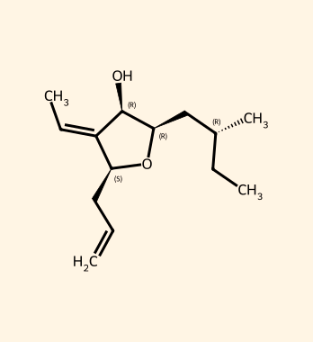 C=CC[C@@H]1O[C@H](C[C@H](C)CC)[C@H](O)C1=CC